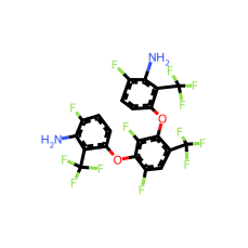 Nc1c(F)ccc(Oc2c(F)cc(C(F)(F)F)c(Oc3ccc(F)c(N)c3C(F)(F)F)c2F)c1C(F)(F)F